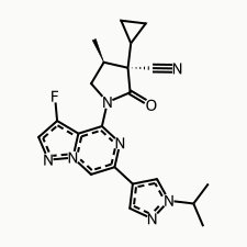 CC(C)n1cc(-c2cn3ncc(F)c3c(N3C[C@@H](C)[C@@](C#N)(C4CC4)C3=O)n2)cn1